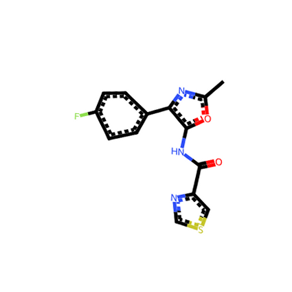 Cc1nc(-c2ccc(F)cc2)c(NC(=O)c2cscn2)o1